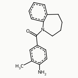 Cc1cc(C(=O)N2CCCCc3ccccc32)ccc1N